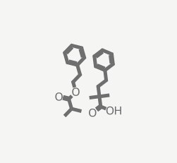 CC(C)(CCc1ccccc1)C(=O)O.CC(C)C(=O)OCCc1ccccc1